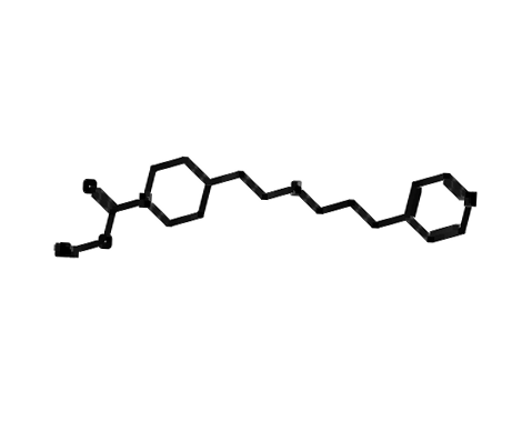 CC(C)(C)OC(=O)N1CCC(CCSCCCc2ccncc2)CC1